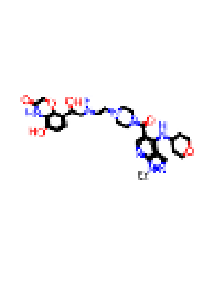 CCn1ncc2c(NC3CCOCC3)c(C(=O)N3CCN(CCNCC(O)c4ccc(O)c5c4OCC(=O)N5)CC3)cnc21